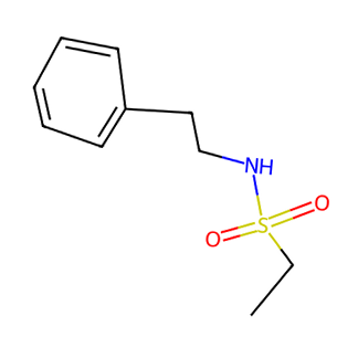 CCS(=O)(=O)NCCc1ccccc1